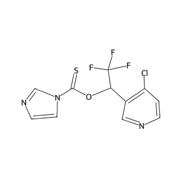 FC(F)(F)C(OC(=S)n1ccnc1)c1cnccc1Cl